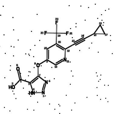 O=C(O)c1[nH]nnc1Oc1cnc(C#CC2CC2)c(C(F)(F)F)c1